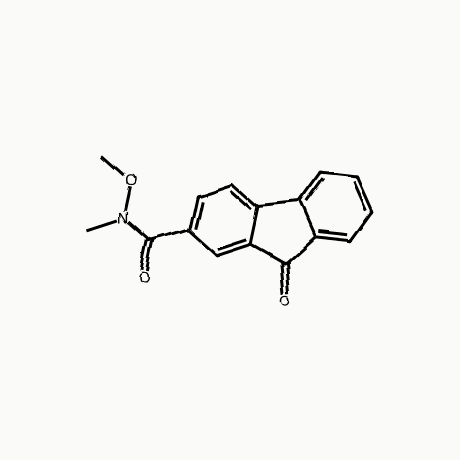 CON(C)C(=O)c1ccc2c(c1)C(=O)c1ccccc1-2